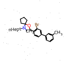 CCCCCCCN(C)C1(OCc2ccc(-c3cccc(C)c3)cc2Br)CCCC1